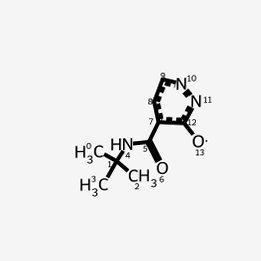 CC(C)(C)NC(=O)c1ccnnc1[O]